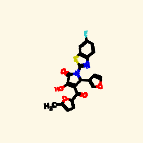 Cc1ccc(C(=O)C2=C(O)C(=O)N(c3nc4ccc(F)cc4s3)C2c2ccoc2)o1